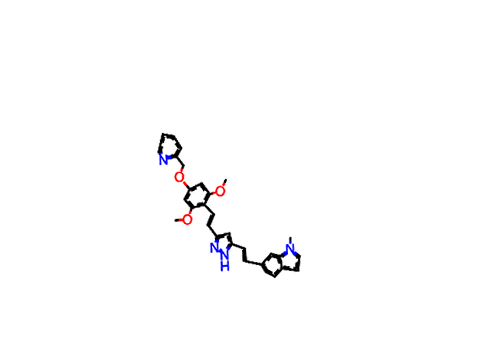 COc1cc(OCc2ccccn2)cc(OC)c1C=Cc1cc(C=Cc2ccc3ccn(C)c3c2)[nH]n1